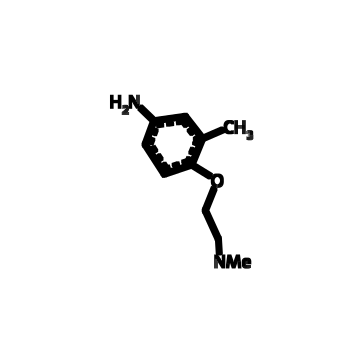 CNCCOc1ccc(N)cc1C